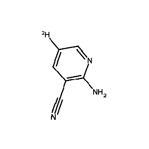 [2H]c1cnc(N)c(C#N)c1